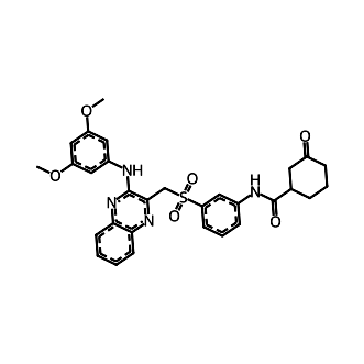 COc1cc(Nc2nc3ccccc3nc2CS(=O)(=O)c2cccc(NC(=O)C3CCCC(=O)C3)c2)cc(OC)c1